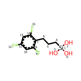 O[Si](O)(O)CCCc1c(F)cc(F)cc1F